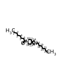 CCCCCCCC(=O)N1CCC2(CC1)CN(CCCCCCC)C2